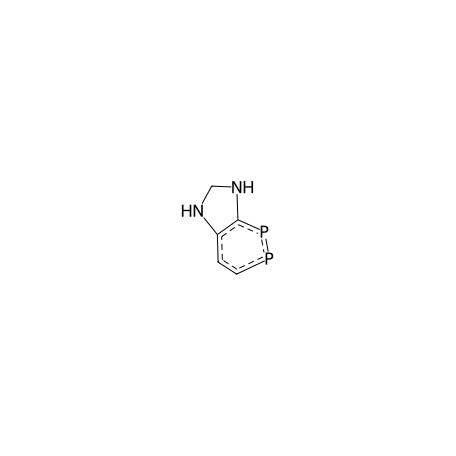 c1cc2c(pp1)NCN2